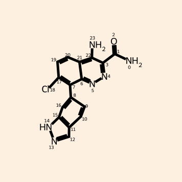 NC(=O)c1nnc2c(-c3ccc4cn[nH]c4c3)c(Cl)ccc2c1N